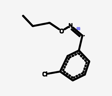 CCCO/N=[C]\c1cccc(Cl)c1